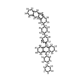 c1ccc(-c2ccc(-c3c4ccccc4c(-c4ccc(-c5ccc(-c6ccc7sc8cc9ccccc9cc8c7c6)cc5)cn4)c4ccccc34)cc2)cc1